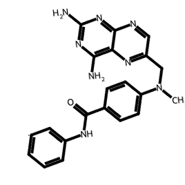 CN(Cc1cnc2nc(N)nc(N)c2n1)c1ccc(C(=O)Nc2c[c]ccc2)cc1